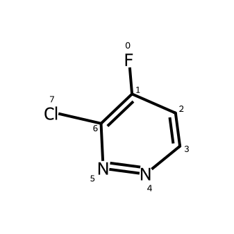 Fc1ccnnc1Cl